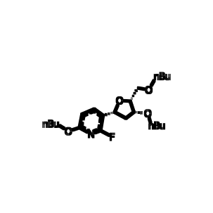 CCCCOC[C@H]1O[C@@H](c2ccc(OCCCC)nc2F)C[C@H]1OCCCC